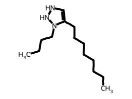 CCCCCCCCC1=CNNN1CCCC